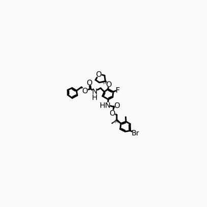 Cc1cc(Br)ccc1[C@@H](C)COC(=O)Nc1cc(F)c(O[C@H]2CCOC2)c(CNC(=O)OCc2ccccc2)c1